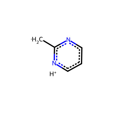 [CH2]c1ncccn1.[H+]